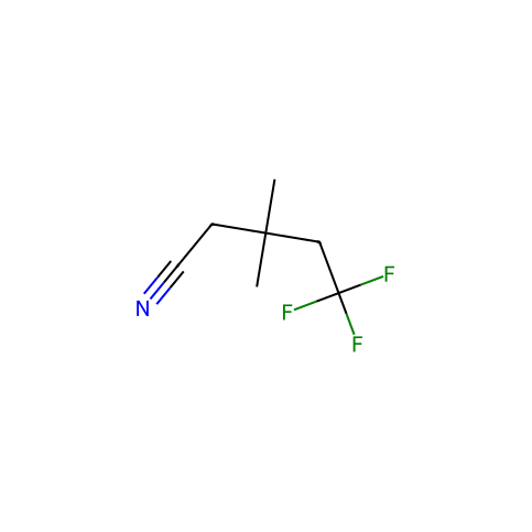 CC(C)(CC#N)CC(F)(F)F